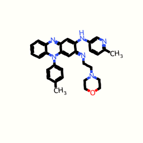 Cc1ccc(-n2c3cc(=NCCN4CCOCC4)c(Nc4ccc(C)nc4)cc-3nc3ccccc32)cc1